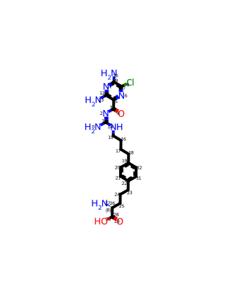 NC(=NC(=O)c1nc(Cl)c(N)nc1N)NCCCCc1ccc(CCC[C@@H](N)C(=O)O)cc1